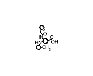 CC1CCCC1Nc1ccc(C(=O)O)cc1NC(=O)Cc1cccs1